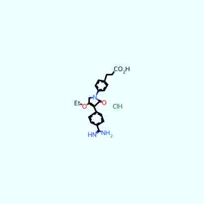 CCOC1=C(c2ccc(C(=N)N)cc2)C(=O)N(c2ccc(CCC(=O)O)cc2)C1.Cl